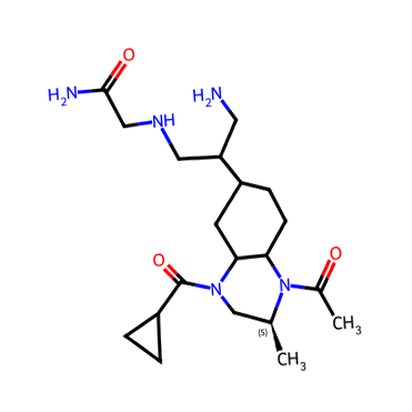 CC(=O)N1C2CCC(C(CN)CNCC(N)=O)CC2N(C(=O)C2CC2)C[C@@H]1C